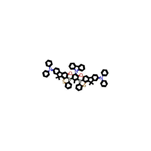 Cc1c2c(c(-n3c4ccccc4c4ccccc43)c3c1B1c4ccccc4Sc4c1c(cc1c4C(C)(C)c4cc(N(c5ccccc5)c5ccccc5)ccc4-1)O3)Oc1cc3c(c4c1B2c1ccccc1S4)C(C)(C)c1cc(N(c2ccccc2)c2ccccc2)ccc1-3